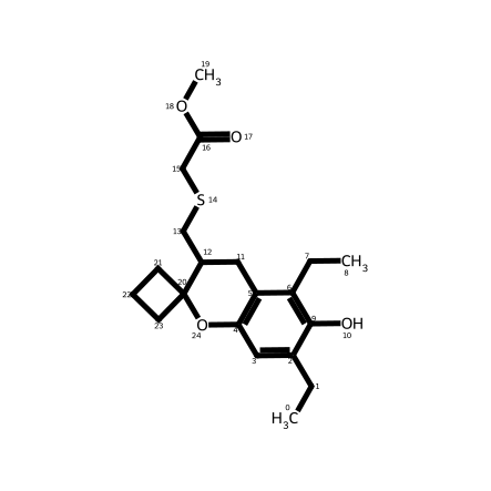 CCc1cc2c(c(CC)c1O)CC(CSCC(=O)OC)C1(CCC1)O2